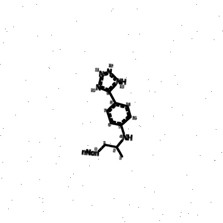 CCCCCCCCCCC(C)Nc1ccc(-c2nnn[nH]2)cc1